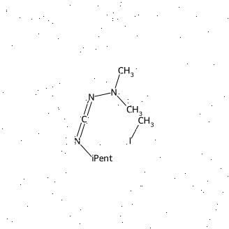 CCCC(C)N=C=NN(C)C.CI